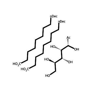 CC(=O)[C@H](O)[C@@H](O)[C@H](O)[C@H](O)CO.CCCCCCCCCCCCCCCCCC(=O)O.CCCCCCCCCCCCCCCCCC(=O)O